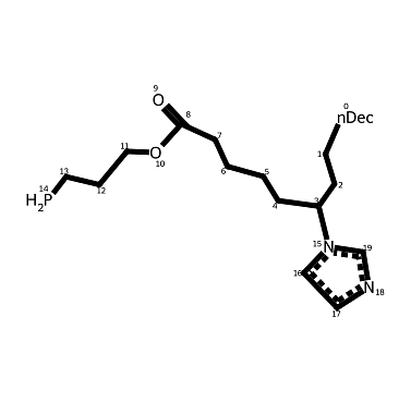 CCCCCCCCCCCCC(CCCCC(=O)OCCCP)n1ccnc1